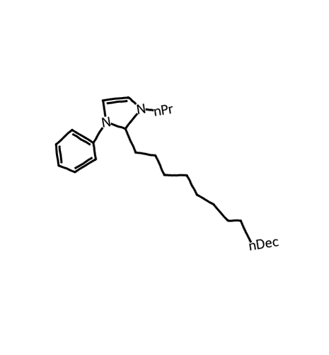 CCCCCCCCCCCCCCCCCCC1N(CCC)C=CN1c1ccccc1